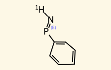 [1H]/N=P/c1ccccc1